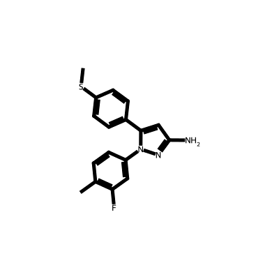 CSc1ccc(-c2cc(N)nn2-c2ccc(C)c(F)c2)cc1